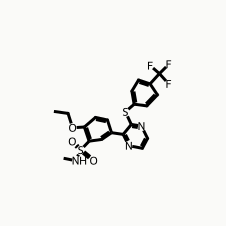 CCOc1ccc(-c2nccnc2Sc2ccc(C(F)(F)F)cc2)cc1S(=O)(=O)NC